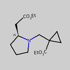 CCOC(=O)C[C@@H]1CCCN1CC1(C(=O)OCC)CC1